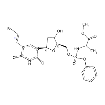 COC(=O)C(C)NP(=O)(OC[C@H]1O[C@@H](n2cc(/C=C/Br)c(=O)[nH]c2=O)CC1O)Oc1ccccc1